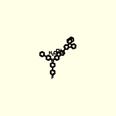 CC1(C)c2cc(-c3ccc4c(c3)-c3ccccc3C43C4CC5CC(C4)CC3C5)ccc2-c2ccc(N(c3ccc(-c4ccccc4)cc3)c3ccc(-c4ccc(F)cc4)cc3)cc21